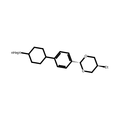 CCCCCCCC1CCC(c2ccc([C@H]3OC[C@H](CC)CO3)cc2)CC1